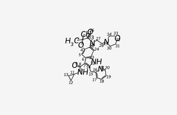 CC1(C)Oc2cc3c(C(=O)NC4CC4)c(Cc4ccccn4)[nH]c3cc2N(CCN2CCOCC2)C1=O